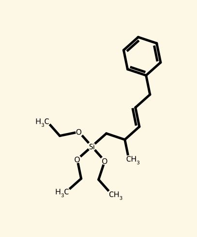 CCO[Si](CC(C)/C=C/Cc1ccccc1)(OCC)OCC